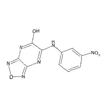 O=[N+]([O-])c1cccc(Nc2nc3nonc3nc2O)c1